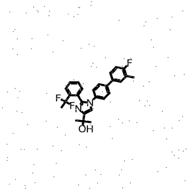 Cc1cc(-c2ccc(-n3cc(C(C)(C)O)nc3-c3ccccc3C(C)(F)F)cc2)ccc1F